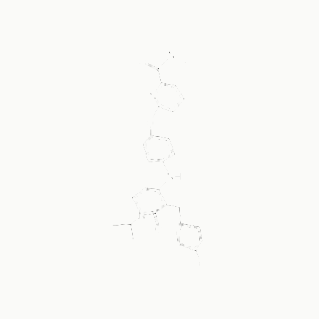 CC(C)n1ccc(Nc2ccc(Oc3cccc(C(N)=O)n3)cc2)c(Cc2ccc(Cl)cc2)c1=O